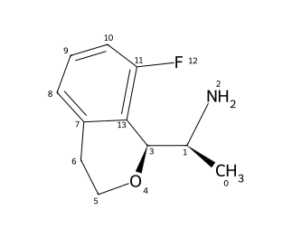 C[C@H](N)[C@H]1OCCc2cccc(F)c21